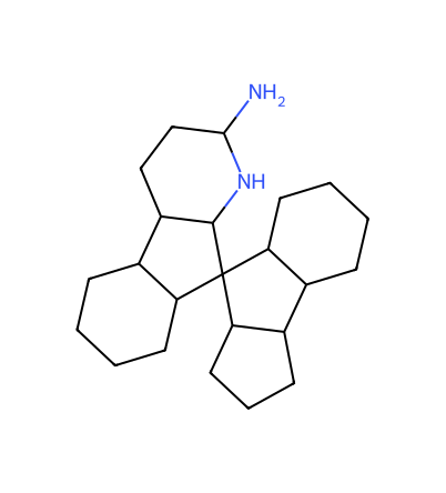 NC1CCC2C3CCCCC3C3(C4CCCCC4C4CCCC43)C2N1